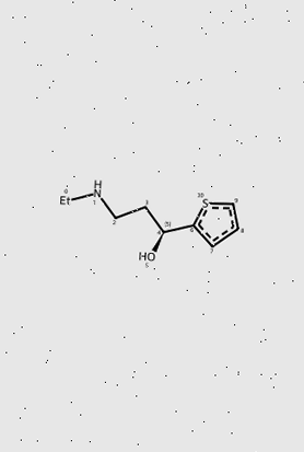 CCNCC[C@H](O)c1cccs1